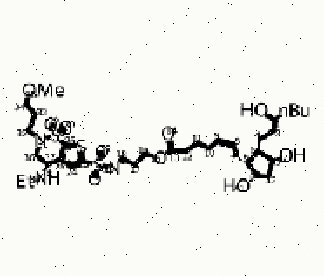 CCCC[C@H](O)CC[C@@H]1[C@@H](C/C=C\CCCC(=O)OCC/C=N/S(=O)(=O)c2cc3c(s2)S(=O)(=O)N(CCCOC)C[C@@H]3NCC)[C@@H](O)C[C@H]1O